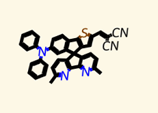 Cc1ccc2c(n1)-c1nc(C)ccc1C21c2cc(N(c3ccccc3)c3ccccc3)ccc2-c2sc(C=C(C#N)C#N)cc21